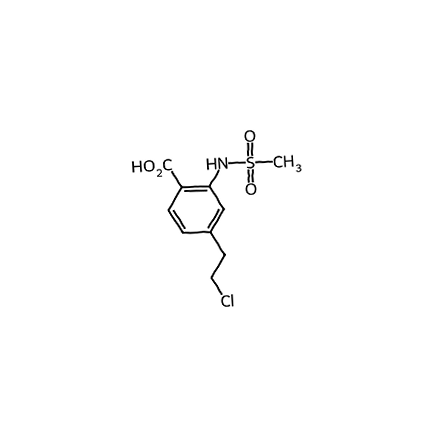 CS(=O)(=O)Nc1cc(CCCl)ccc1C(=O)O